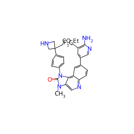 CCOC(=O)CC1(c2ccc(-n3c(=O)n(C)c4cnc5ccc(-c6cnc(N)c(C(F)(F)F)c6)cc5c43)cc2)CNC1